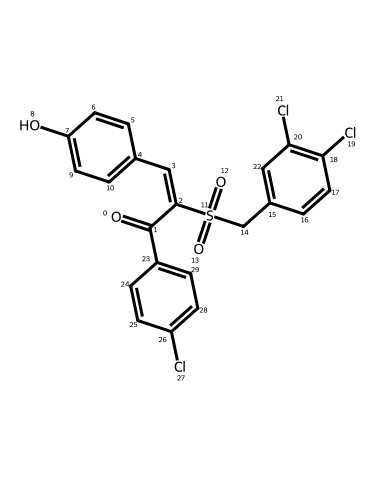 O=C(/C(=C\c1ccc(O)cc1)S(=O)(=O)Cc1ccc(Cl)c(Cl)c1)c1ccc(Cl)cc1